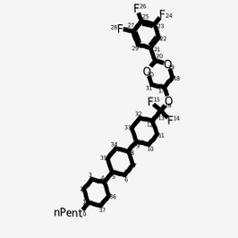 CCCCCC1CCC(C2CCC(C3CCC(C(F)(F)OC4COC(c5cc(F)c(F)c(F)c5)OC4)CC3)CC2)CC1